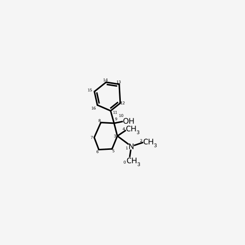 CN(C)C1(C)CCCCC1(O)c1ccccc1